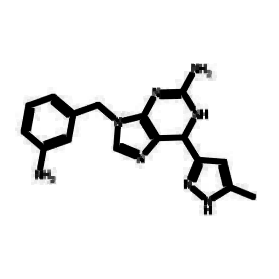 Cc1cc(C2NC(N)=Nc3c2ncn3Cc2cccc(N)c2)n[nH]1